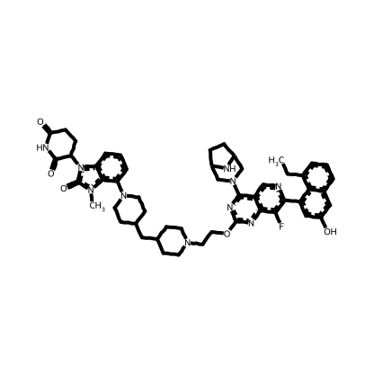 CCc1cccc2cc(O)cc(-c3ncc4c(N5CC6CCC(C5)N6)nc(OCCN5CCC(CC6CCN(c7cccc8c7n(C)c(=O)n8C7CCC(=O)NC7=O)CC6)CC5)nc4c3F)c12